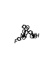 CS(=O)(=O)Nc1ccc(C2(OCc3noc(-c4ccc(F)cc4)n3)COc3ccccc3C2=O)cc1